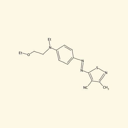 CCOCCN(CC)c1ccc(N=Nc2snc(C)c2C#N)cc1